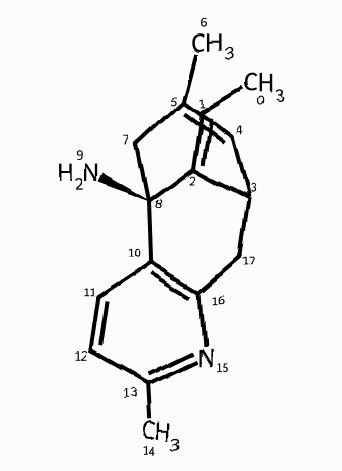 C/C=C1\C2C=C(C)C[C@@]1(N)c1ccc(C)nc1C2